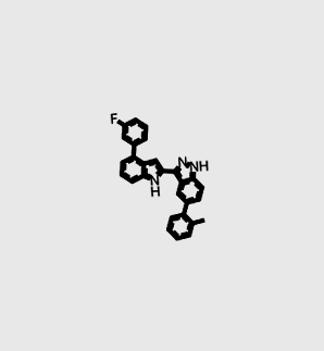 Cc1ccccc1-c1ccc2[nH]nc(-c3cc4c(-c5cccc(F)c5)cccc4[nH]3)c2c1